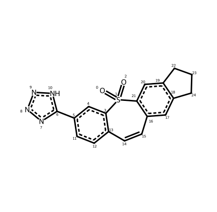 O=S1(=O)c2cc(-c3nnn[nH]3)ccc2C=Cc2cc3c(cc21)CCC3